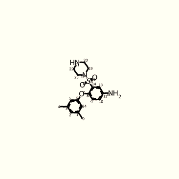 Cc1cc(C)cc(Oc2ccc(N)cc2S(=O)(=O)N2CCNCC2)c1